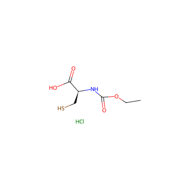 CCOC(=O)N[C@@H](CS)C(=O)O.Cl